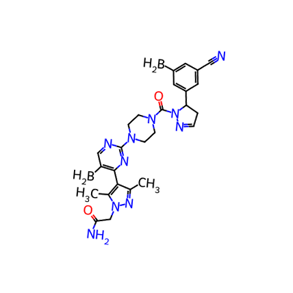 Bc1cc(C#N)cc(C2CC=NN2C(=O)N2CCN(c3ncc(B)c(-c4c(C)nn(CC(N)=O)c4C)n3)CC2)c1